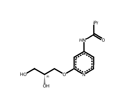 CC(C)C(=O)Nc1ccnc(OC[C@H](O)CO)c1